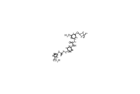 Cc1cc(OC2CC(F)(F)C2)cc(CC(=O)Nc2ccc(CC[C@@H](F)Cn3cc(C(=O)O)nn3)nn2)n1